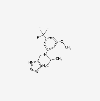 COc1cc(N(Cc2cnc[nH]2)C(C)C)cc(C(F)(F)F)c1